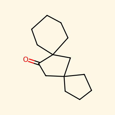 O=C1CC2(CCCC2)CC12CCCCC2